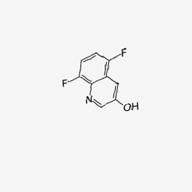 Oc1cnc2c(F)ccc(F)c2c1